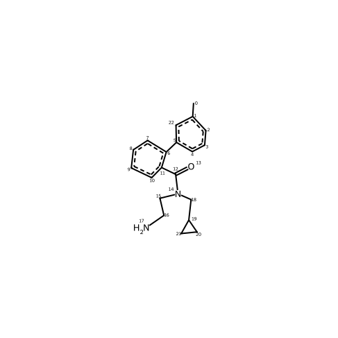 Cc1cccc(-c2ccccc2C(=O)N(CCN)CC2CC2)c1